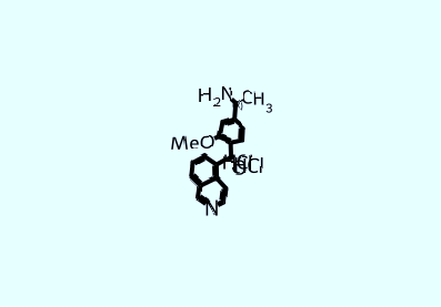 COc1cc([C@@H](C)N)ccc1C(=O)c1cccc2cnccc12.Cl.Cl